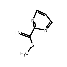 CSC(=N)c1ncccn1